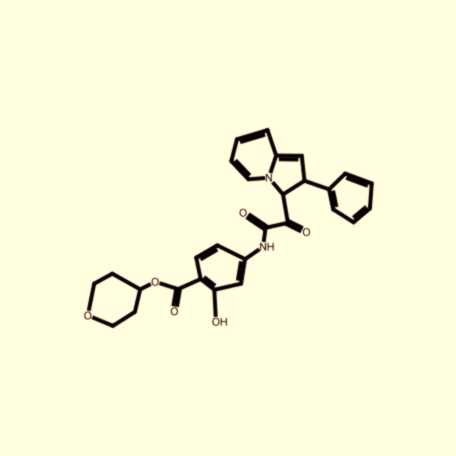 O=C(Nc1ccc(C(=O)OC2CCOCC2)c(O)c1)C(=O)C1C(c2ccccc2)C=C2C=CC=CN21